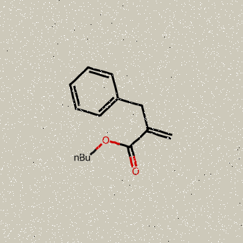 C=C(Cc1ccccc1)C(=O)OCCCC